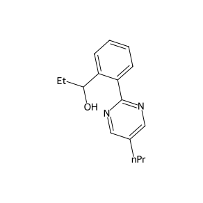 CCCc1cnc(-c2ccccc2C(O)CC)nc1